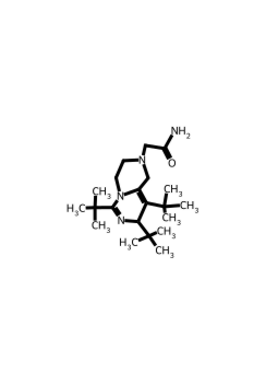 CC(C)(C)C1=NC(C(C)(C)C)C(C(C)(C)C)=C2CN(CC(N)=O)CCN12